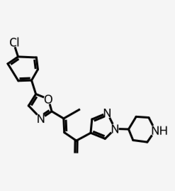 C=C(/C=C(\C)c1ncc(-c2ccc(Cl)cc2)o1)c1cnn(C2CCNCC2)c1